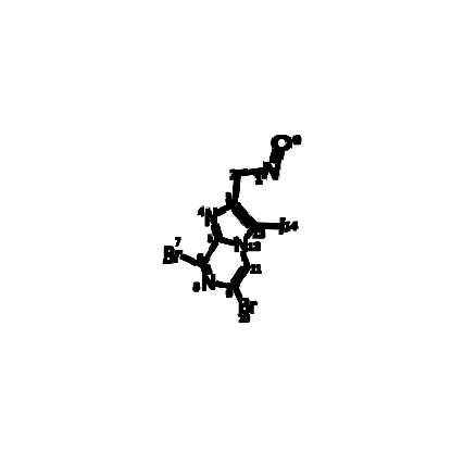 O=NCc1nc2c(Br)nc(Br)cn2c1I